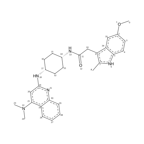 COc1ccc2[nH]c(C)c(CC(=O)N[C@H]3CC[C@@H](Nc4cc(N(C)C)c5ccccc5n4)CC3)c2c1